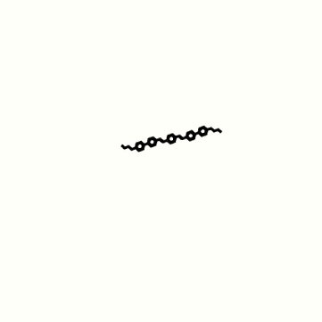 CCCCc1ccc(-c2ccc(/C=C/c3ccc(/C=C/c4ccc(-c5ccc(CCCC)cc5)cc4)cc3)cc2)cc1